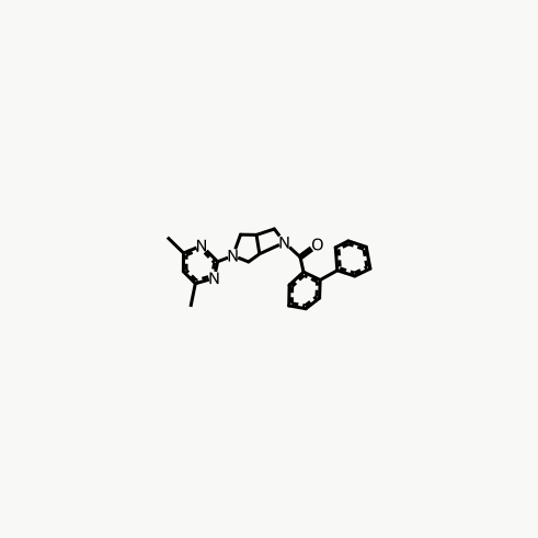 Cc1cc(C)nc(N2CC3CN(C(=O)c4ccccc4-c4ccccc4)C3C2)n1